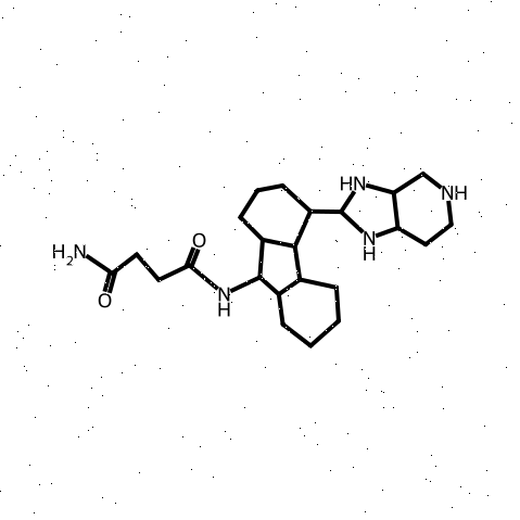 NC(=O)CCC(=O)NC1C2CCCCC2C2C(C3NC4CCNCC4N3)CCCC12